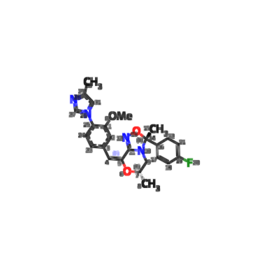 COc1cc(/C=C2/O[C@@H](C)CN3C2=NO[C@]3(C)C2C=CC(F)=CC2)ccc1-n1cnc(C)c1